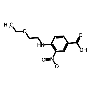 CCOCCNc1ccc(C(=O)O)cc1[N+](=O)[O-]